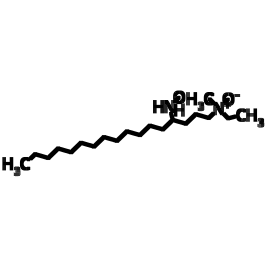 CCCCCCCCCCCCCC(CCC[N+](C)([O-])CC)NO